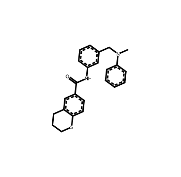 CN(Cc1cccc(NC(=O)c2ccc3c(c2)CCCS3)c1)c1ccccc1